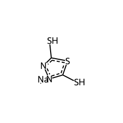 Sc1nnc(S)s1.[Na]